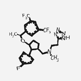 C[C@H](OC1CCC(CN(C)CCc2nnn[nH]2)C1c1ccc(F)cc1)c1cc(C(F)(F)F)cc(C(F)(F)F)c1